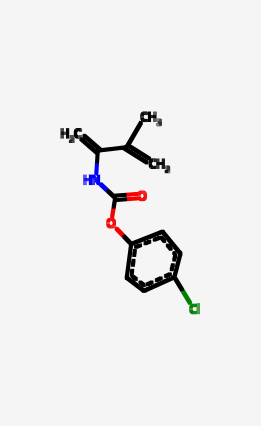 C=C(C)C(=C)NC(=O)Oc1ccc(Cl)cc1